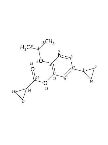 CC(C)Oc1ncc(C2CC2)cc1OC(=O)C1CC1